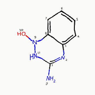 NC1=Nc2ccccc2N(O)N1